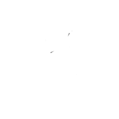 C[C@@]1(O)[C@H](OC(=O)c2ccccc2)[C@@H](COC(=O)c2ccccc2)O[C@@H]1O